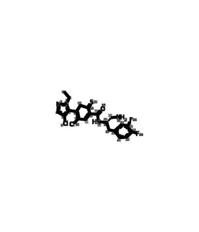 CCn1ncc(Cl)c1C1=C(Cl)C=C(C(=O)N[C@H](CN)Cc2ccc(F)c(F)c2)C(=S)C1